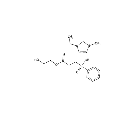 CCN1C=CN(C)C1.O=C(CCP(=O)(O)c1ccccc1)OCCO